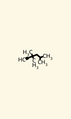 C#CC(C)(C)C[C](C)C